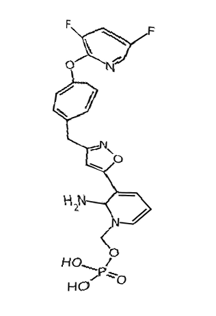 NC1C(c2cc(Cc3ccc(Oc4ncc(F)cc4F)cc3)no2)=CC=CN1COP(=O)(O)O